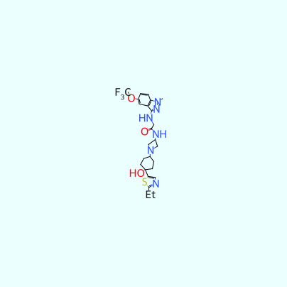 CCc1ncc([C@]2(O)CC[C@H](N3CC(NC(=O)CNc4nn(C)c5ccc(OC(F)(F)F)cc45)C3)CC2)s1